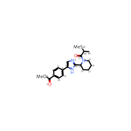 COC(=O)c1ccc(-c2cnc(C3CCCCN3C(=O)C(C)SC)[nH]2)cc1